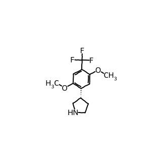 COc1cc(C(F)(F)F)c(OC)cc1[C@@H]1CCNC1